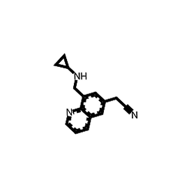 N#CCc1cc(CNC2CC2)c2ncccc2c1